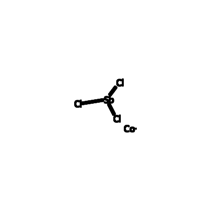 [Cl][Sb]([Cl])[Cl].[Co]